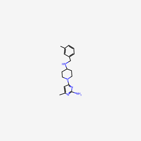 Cc1cccc(CNC2CCN(c3cc(C)nc(N)n3)CC2)c1